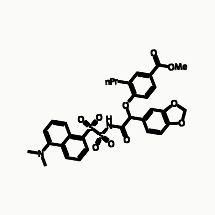 CCCc1cc(C(=O)OC)ccc1OC(C(=O)NS(=O)(=O)S(=O)(=O)c1cccc2c(N(C)C)cccc12)c1ccc2c(c1)OCO2